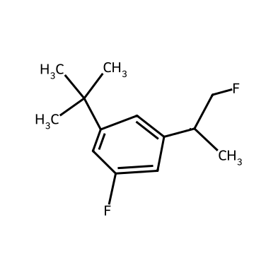 C[C](CF)c1cc(F)cc(C(C)(C)C)c1